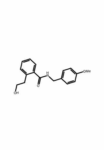 COc1ccc(CNC(=O)c2ccccc2CCO)cc1